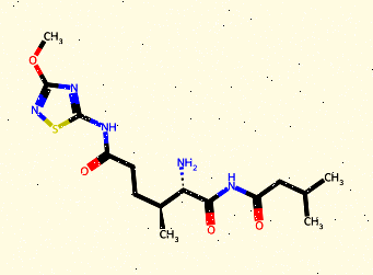 COc1nsc(NC(=O)CC[C@H](C)[C@H](N)C(=O)NC(=O)CC(C)C)n1